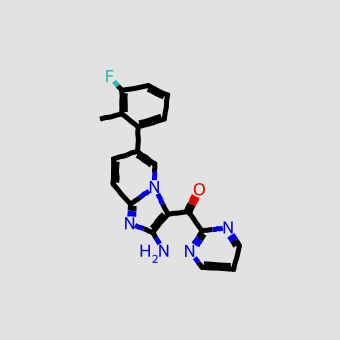 Cc1c(F)cccc1-c1ccc2nc(N)c(C(=O)c3ncccn3)n2c1